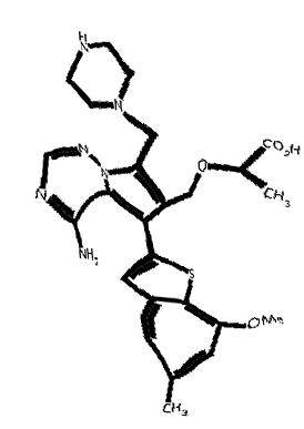 COc1cc(C)cc2cc(-c3c(COC(C)C(=O)O)c(CN4CCNCC4)n4ncnc(N)c34)sc12